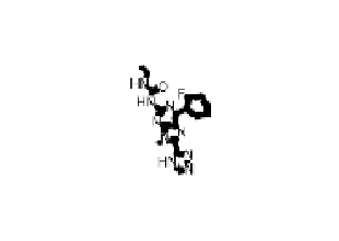 CCNC(=O)Nc1nc(-c2ccccc2F)c2nc(-c3nnc[nH]3)n(C)c2n1